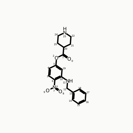 O=C(Oc1ccc([N+](=O)[O-])c(NCc2ccccc2)c1)C1CCNCC1